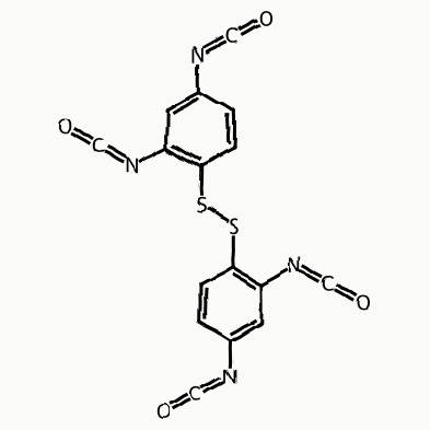 O=C=Nc1ccc(SSc2ccc(N=C=O)cc2N=C=O)c(N=C=O)c1